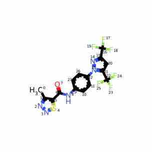 Cc1nnsc1C(=O)Nc1ccc(-n2nc(C(F)(F)F)cc2C(F)(F)F)cc1